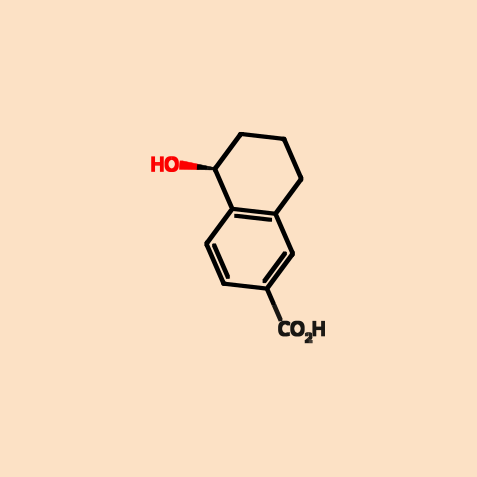 O=C(O)c1ccc2c(c1)CCC[C@@H]2O